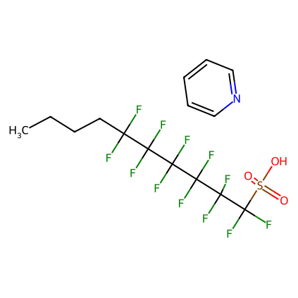 CCCCC(F)(F)C(F)(F)C(F)(F)C(F)(F)C(F)(F)C(F)(F)S(=O)(=O)O.c1ccncc1